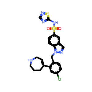 O=S(=O)(Nc1ncns1)c1ccc2c(cnn2Cc2ccc(Cl)cc2C2=CCNCCC2)c1